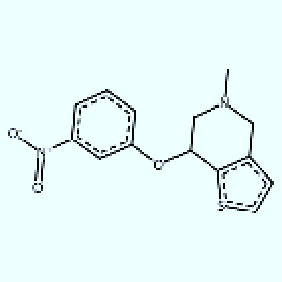 CN1Cc2ccsc2C(Oc2cccc([N+](=O)[O-])c2)C1